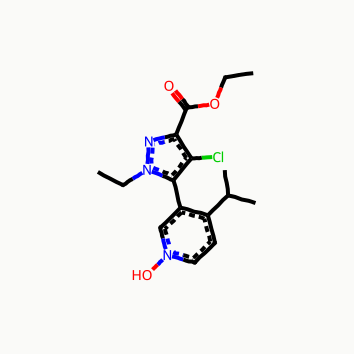 CCOC(=O)c1nn(CC)c(-c2c[n+](O)ccc2C(C)C)c1Cl